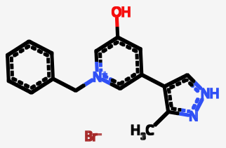 Cc1n[nH]cc1-c1cc(O)c[n+](Cc2ccccc2)c1.[Br-]